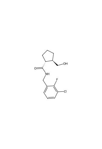 O=C(NCc1cccc(Cl)c1F)[C@@H]1CCC[C@H]1CO